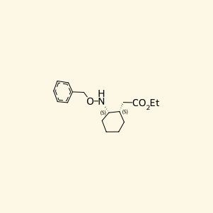 CCOC(=O)C[C@@H]1CCCC[C@@H]1NOCc1ccccc1